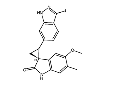 COc1cc2c(cc1C)NC(=O)[C@@]21CC1c1ccc2c(I)n[nH]c2c1